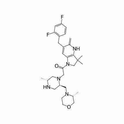 C=C1NC2=C(C=C1Cc1ccc(F)cc1F)N(C(=O)CN1C[C@@H](C)NC[C@@H]1CN1CCOC[C@H]1C)CC2(C)C